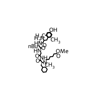 CCCC[C@@H](NC(=O)[C@@H](N)Cc1c(C)cc(O)cc1C)C(=O)NCC(=O)NC(=O)[C@H](CC1CCCCC1)N(C)CCCCCC(=O)OC